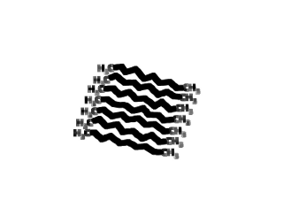 CCCCCCCCCC.CCCCCCCCCC.CCCCCCCCCC.CCCCCCCCCC.CCCCCCCCCC.CCCCCCCCCC.CCCCCCCCCC